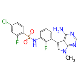 Cn1cc(-c2cccc(NS(=O)(=O)c3ccc(Cl)cc3F)c2F)c2c(N)ncnc21